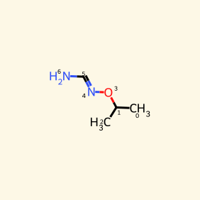 CC(C)O/N=C/N